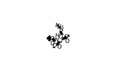 COC(=O)[C@H](C[C@H](OCCN=[N+]=[N-])C(=O)OC)NC(=O)OC(C)(C)C